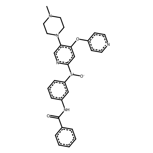 CN1CCN(c2cnc([S+]([O-])c3cccc(NC(=O)c4ccccc4)c3)cc2Oc2ccncc2)CC1